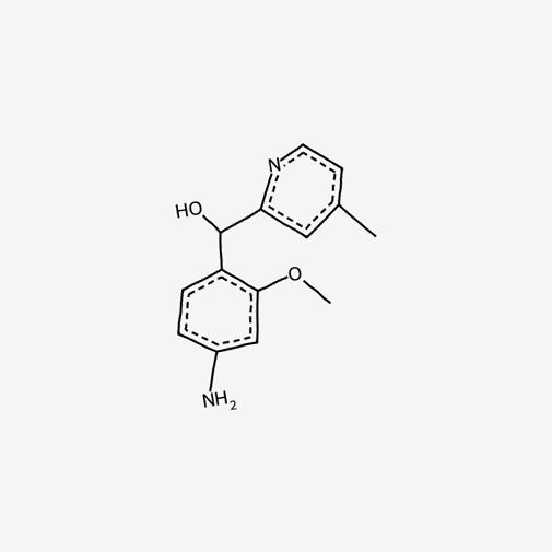 COc1cc(N)ccc1C(O)c1cc(C)ccn1